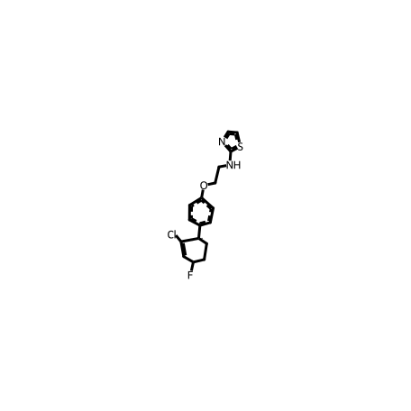 FC1C=C(Cl)[C](c2ccc(OCCNc3nccs3)cc2)CC1